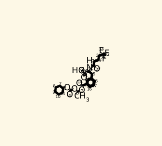 CC(OC(=O)OC1CCCCC1)OC(=O)c1cccc2c1OB(O)C(NC(=O)CCCC(F)(F)F)C2